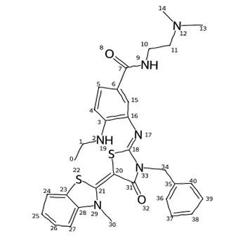 CCNc1ccc(C(=O)NCCN(C)C)cc1/N=C1\S/C(=C2\Sc3ccccc3N2C)C(=O)N1Cc1ccccc1